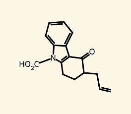 C=CCC1CCc2c(c3ccccc3n2C(=O)O)C1=O